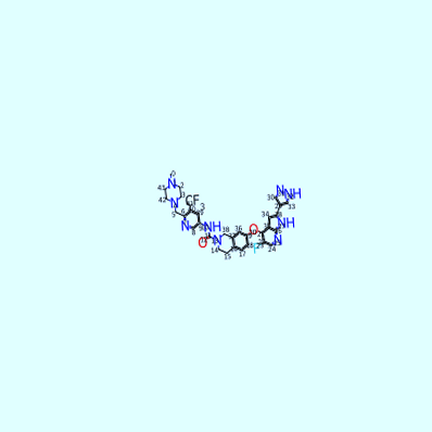 CN1CCN(Cc2ncc(NC(=O)N3CCc4ccc(Oc5c(F)cnc6[nH]c(-c7cn[nH]c7)cc56)cc4C3)cc2C(F)(F)F)CC1